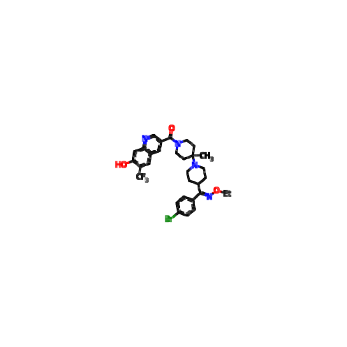 CCO/N=C(/c1ccc(Br)cc1)C1CCN(C2(C)CCN(C(=O)c3cnc4cc(O)c(C(F)(F)F)cc4c3)CC2)CC1